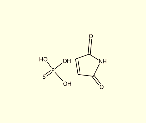 O=C1C=CC(=O)N1.OP(O)(O)=S